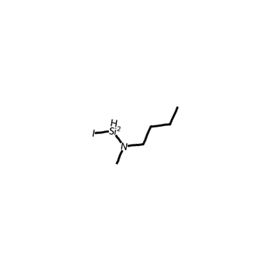 CCCCN(C)[SiH2]I